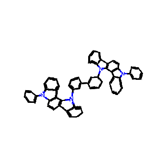 C1=CC(c2cccc(-n3c4ccccc4c4ccc5c(c6ccccc6n5-c5ccccc5)c43)c2)=CC(n2c3ccccc3c3ccc4c(c5ccccc5n4-c4ccccc4)c32)C1